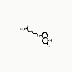 O=C(O)CCCCOc1cccc2c1CCC(=O)N2